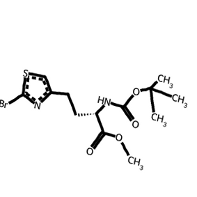 COC(=O)[C@H](CCc1csc(Br)n1)NC(=O)OC(C)(C)C